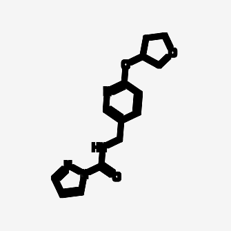 O=C(NCc1ccc(OC2CCOC2)nc1)n1cccn1